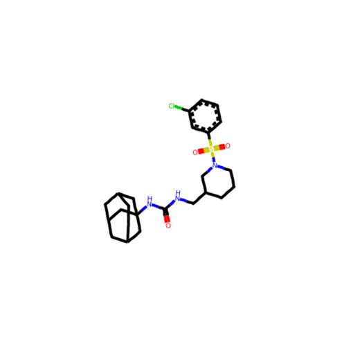 O=C(NCC1CCCN(S(=O)(=O)c2cccc(Cl)c2)C1)NC12CC3CC(CC(C3)C1)C2